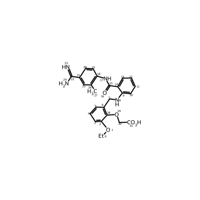 CCOc1cccc(CNc2ccccc2C(=O)Nc2ccc(C(=N)N)cc2C)c1OCC(=O)O